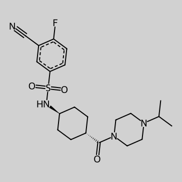 CC(C)N1CCN(C(=O)[C@H]2CC[C@H](NS(=O)(=O)c3ccc(F)c(C#N)c3)CC2)CC1